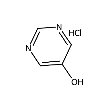 Cl.Oc1cncnc1